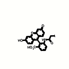 O=C(CI)Nc1cccc(C(=O)O)c1-c1c2ccc(=O)cc-2oc2cc(O)ccc12